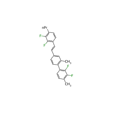 CCCc1ccc(/C=C/c2ccc(-c3ccc(C)c(F)c3F)c(C)c2)c(F)c1F